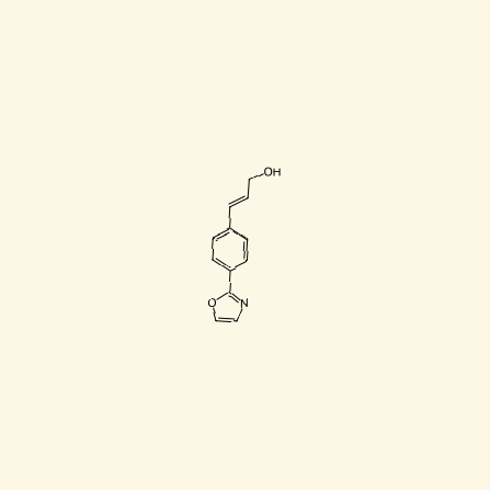 OC/C=C/c1ccc(-c2ncco2)cc1